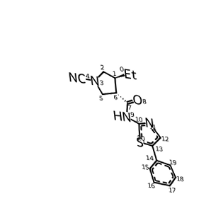 CC[C@@H]1CN(C#N)C[C@H]1C(=O)Nc1ncc(-c2ccccc2)s1